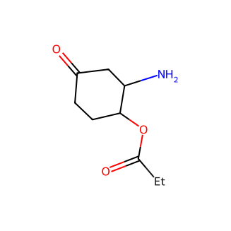 CCC(=O)OC1CCC(=O)CC1N